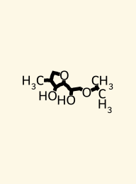 CC(C)OCC(O)C1OCC(C)C1O